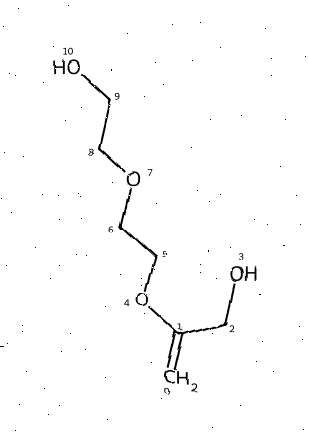 C=C(CO)OCCOCCO